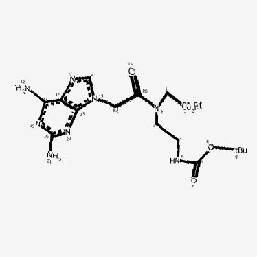 CCOC(=O)CN(CCNC(=O)OC(C)(C)C)C(=O)Cn1cnc2c(N)nc(N)nc21